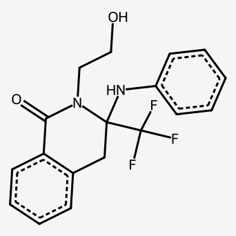 O=C1c2ccccc2CC(Nc2ccccc2)(C(F)(F)F)N1CCO